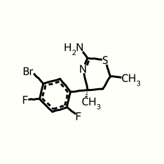 CC1C[C@@](C)(c2cc(Br)c(F)cc2F)N=C(N)S1